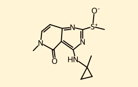 Cn1ccc2nc([S+](C)[O-])nc(NC3(C)CC3)c2c1=O